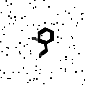 C.O=Cc1ccccc1